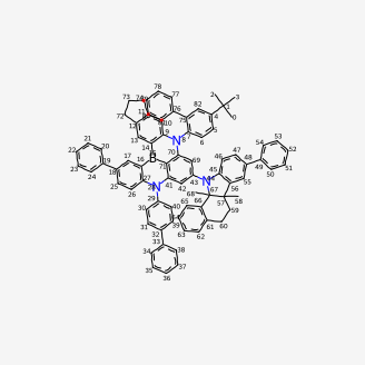 CC(C)(C)c1ccc(N2c3cc4c(cc3B3c5cc(-c6ccccc6)ccc5N(c5ccc(-c6ccccc6)cc5)c5cc(N6c7ccc(-c8ccccc8)cc7C7(C)CCc8ccccc8C67C)cc2c53)CCC4)c(-c2ccccc2)c1